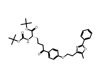 Cc1oc(-c2ccccc2)nc1CCOc1ccc(C(=O)CCC[C@H](NC(=O)OC(C)(C)C)C(=O)OC(C)(C)C)cc1